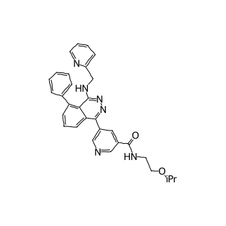 CC(C)OCCNC(=O)c1cncc(-c2nnc(NCc3ccccn3)c3c(-c4ccccc4)cccc23)c1